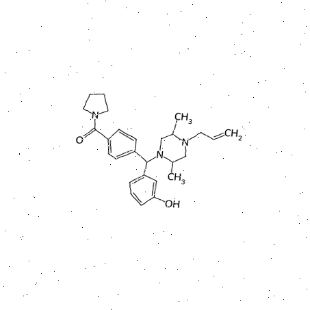 C=CCN1CC(C)N(C(c2ccc(C(=O)N3CCCC3)cc2)c2cccc(O)c2)CC1C